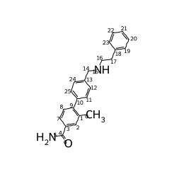 Cc1cc(C(N)=O)ccc1-c1ccc(CNCCc2ccccc2)cc1